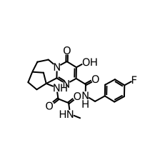 CNC(=O)C(=O)NC12CCC(CCn3c1nc(C(=O)NCc1ccc(F)cc1)c(O)c3=O)C2